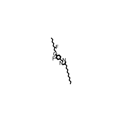 CCCCCCCCCCc1cnc(-c2ccc(OCCC(F)CCCCC)c(F)c2)nc1